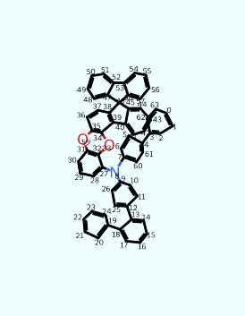 c1ccc(-c2ccc(N(c3ccc(-c4ccccc4-c4ccccc4)cc3)c3cccc4c3Oc3c(ccc5c3-c3ccccc3C53c5ccccc5-c5ccccc53)O4)cc2)cc1